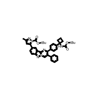 Cc1cc(-c2ccc3nn4cc(-c5ccccc5)c(-c5ccc(C6(NC(=O)OC(C)(C)C)CCC6)cc5)nc4c3c2)n(C(=O)OC(C)(C)C)n1